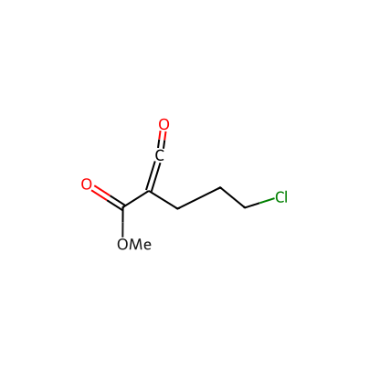 COC(=O)C(=C=O)CCCCl